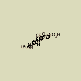 Cc1cc(-n2ncc(C(C)(C)C)n2)ccc1C(CCC(F)(F)F)Nc1ccc(C(=O)N2CCC[C@@H](C(=O)O)C2)cc1